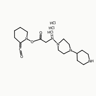 Cl.Cl.Cl.O=C=C1CCCCN1OC(=O)CNN1CCN(C2CCNCC2)CC1